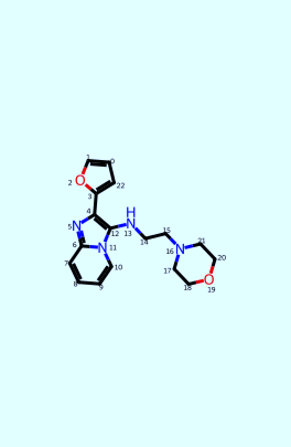 c1coc(-c2nc3ccccn3c2NCCN2CCOCC2)c1